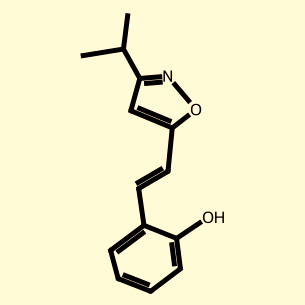 CC(C)c1cc(C=Cc2ccccc2O)on1